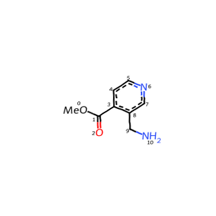 COC(=O)c1ccncc1CN